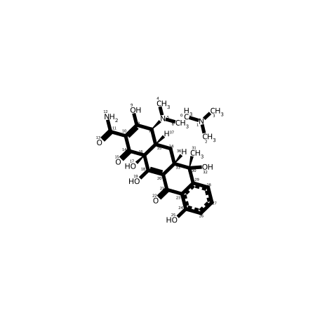 CN(C)C.CN(C)[C@@H]1C(O)=C(C(N)=O)C(=O)[C@@]2(O)C(O)=C3C(=O)c4c(O)cccc4[C@@](C)(O)[C@H]3C[C@@H]12